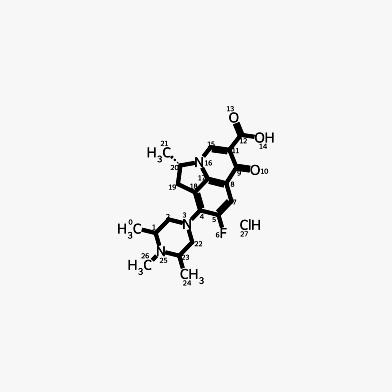 CC1CN(c2c(F)cc3c(=O)c(C(=O)O)cn4c3c2C[C@@H]4C)CC(C)N1C.Cl